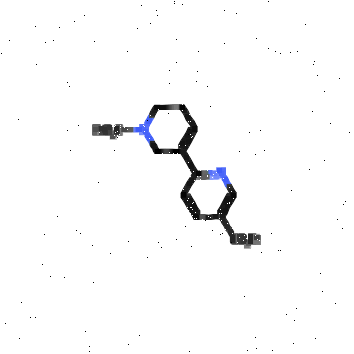 CCOC(=O)c1ccc(C2=CCCN(C(=O)OCC)C2)nc1